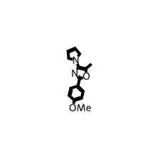 COc1ccc(-c2nc(N3CC=CC3)c(C)o2)cc1